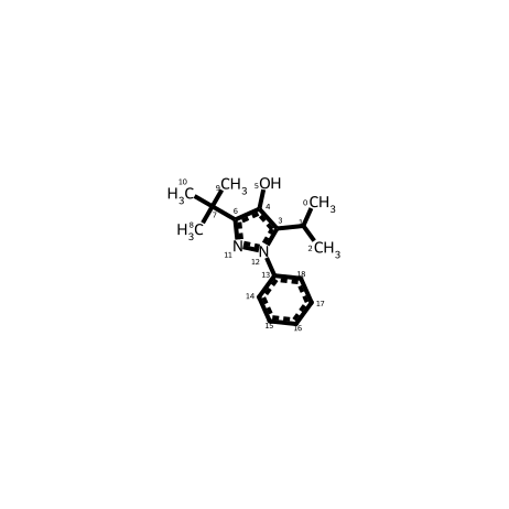 CC(C)c1c(O)c(C(C)(C)C)nn1-c1ccccc1